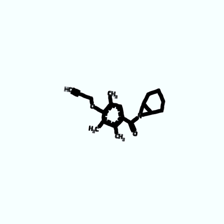 C#CCOc1c(C)cc(C(=O)N2C3CCCCC32)c(C)c1C